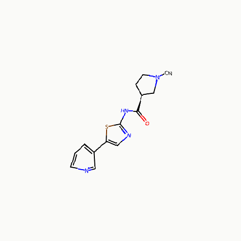 N#CN1CC[C@H](C(=O)Nc2ncc(-c3cccnc3)s2)C1